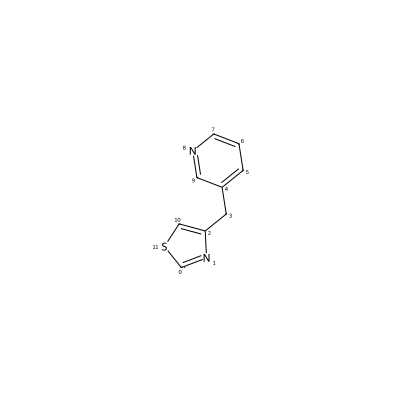 [c]1nc(Cc2cccnc2)cs1